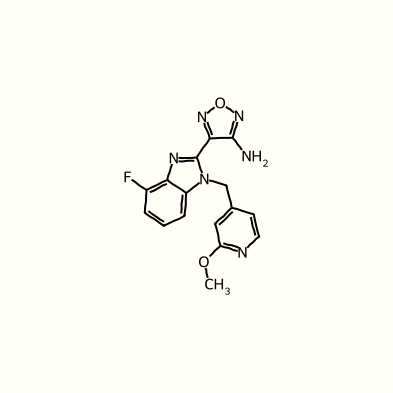 COc1cc(Cn2c(-c3nonc3N)nc3c(F)cccc32)ccn1